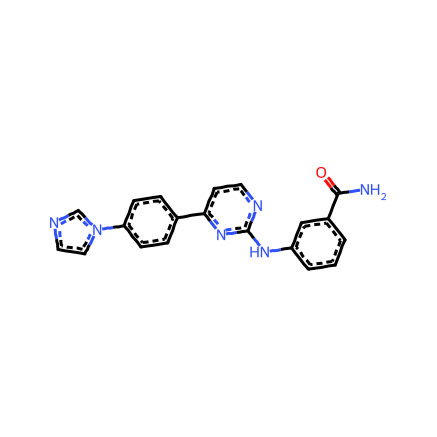 NC(=O)c1cccc(Nc2nccc(-c3ccc(-n4ccnc4)cc3)n2)c1